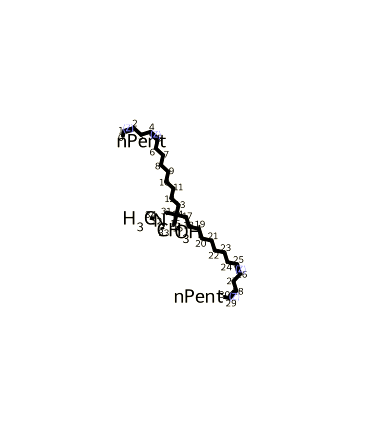 CCCCC/C=C\C/C=C\CCCCCCCCC(CO)(CCCCCCCC/C=C\C/C=C\CCCCC)CN(C)C